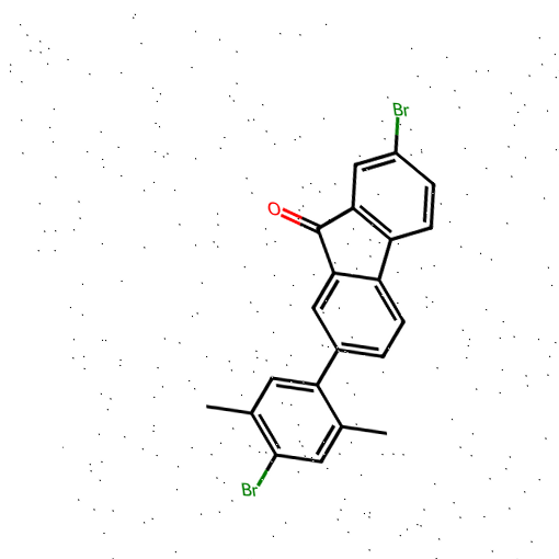 Cc1cc(-c2ccc3c(c2)C(=O)c2cc(Br)ccc2-3)c(C)cc1Br